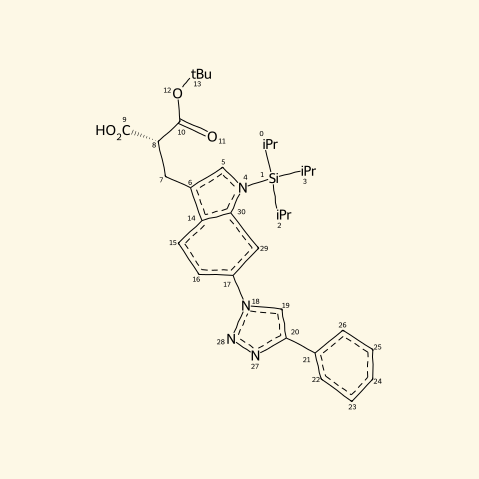 CC(C)[Si](C(C)C)(C(C)C)n1cc(C[C@H](C(=O)O)C(=O)OC(C)(C)C)c2ccc(-n3cc(-c4ccccc4)nn3)cc21